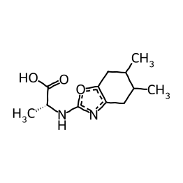 CC1Cc2nc(N[C@H](C)C(=O)O)oc2CC1C